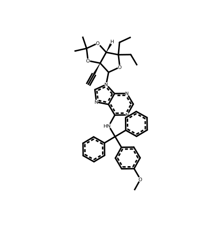 C#C[C@@]12OC(C)(C)O[C@@H]1C(CC)(CC)OC2n1cnc2c(NC(c3ccccc3)(c3ccccc3)c3ccc(OC)cc3)ncnc21